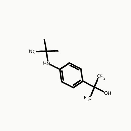 CC(C)(C#N)Nc1ccc(C(O)(C(F)(F)F)C(F)(F)F)cc1